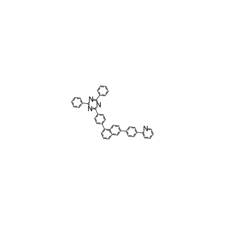 c1ccc(-c2nc(-c3ccccc3)nc(-c3ccc(-c4cccc5cc(-c6ccc(-c7ccccn7)cc6)ccc45)cc3)n2)cc1